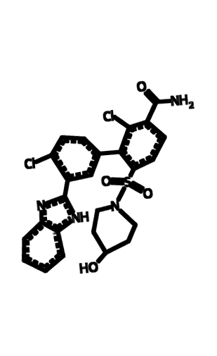 NC(=O)c1ccc(S(=O)(=O)N2CCC(O)CC2)c(-c2ccc(Cl)c(-c3nc4ccccc4[nH]3)c2)c1Cl